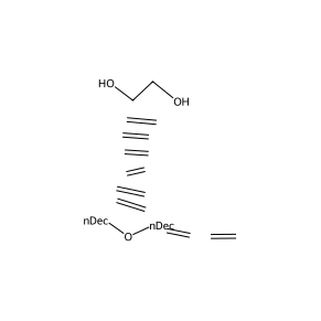 C=C.C=C.C=C.C=C.C=C.C=C.C=C.C=C.CCCCCCCCCCOCCCCCCCCCC.OCCO